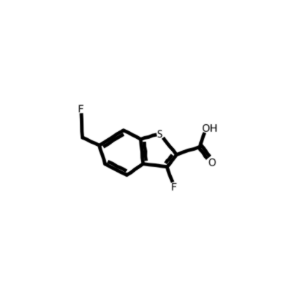 O=C(O)c1sc2cc(CF)ccc2c1F